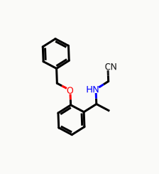 CC(NCC#N)c1ccccc1OCc1ccccc1